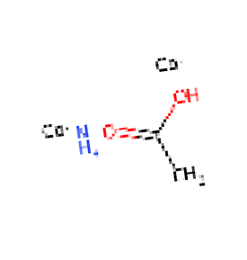 CC(=O)O.N.[Co].[Co]